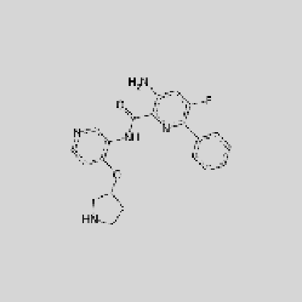 Nc1cc(F)c(-c2ccccc2)nc1C(=O)Nc1cnccc1OC1CCNC1